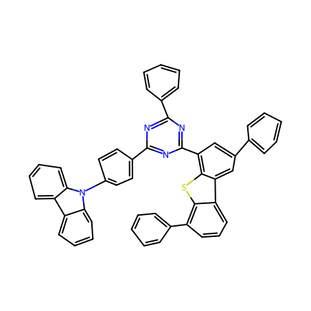 c1ccc(-c2cc(-c3nc(-c4ccccc4)nc(-c4ccc(-n5c6ccccc6c6ccccc65)cc4)n3)c3sc4c(-c5ccccc5)cccc4c3c2)cc1